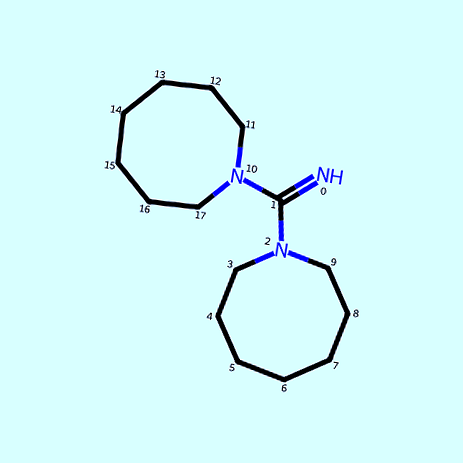 N=C(N1CCCCCCC1)N1CCCCCCC1